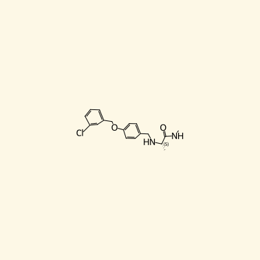 CNC(=O)[C@H](C)NCc1ccc(OCc2cccc(Cl)c2)cc1